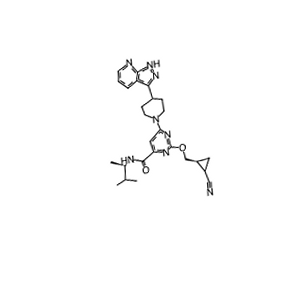 CC(C)[C@@H](C)NC(=O)c1cc(N2CCC(c3n[nH]c4ncccc34)CC2)nc(OC[C@H]2CC2C#N)n1